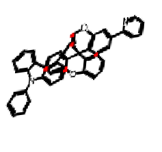 c1ccc(-n2c3ccccc3c3c(-c4cccc5c4C4(c6ccccc6Oc6ccccc64)c4ccc(-c6ccccn6)cc4O5)cccc32)cc1